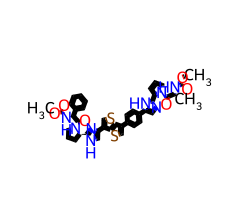 COC(=O)N[C@H](C)C(=O)N1CC=CC1c1ncc(-c2ccc(-c3csc4c(-c5c[nH]c([C@@H]6CCCN6C(=O)[C@H](NC(=O)OC)c6ccccc6)n5)csc34)cc2)[nH]1